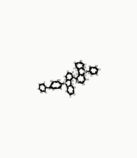 c1ccc(-c2ccc(-n3c4ccccc4c4c(-c5nccc6c5c5ccccc5n6-c5ccccc5)cccc43)cc2)cc1